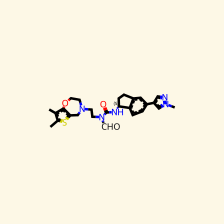 Cc1sc2c(c1C)OCCN(CCN(C=O)C(=O)N[C@H]1CCc3cc(-c4cnn(C)c4)ccc31)C2